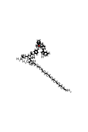 CC(C)[C@H](NC(=O)CCOCCOCCOCCOCCOCCOCCOCCOCCN)C(=O)N[C@@H](CCCNC(N)=O)C(=O)Nc1ccc(COC(=O)[C@H]2C3CCC(CC3)[C@@H]2Nc2nc(-c3c[nH]c4ncc(F)cc34)ncc2F)cc1